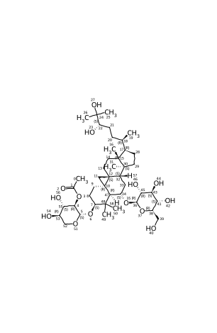 CC(=O)O[C@H]1[C@H](O[C@H]2CC[C@]34C[C@]35CC[C@]3(C)[C@@H]([C@H](C)CC[C@H](O)C(C)(C)O)CC[C@@]3(C)[C@@H]5C[C@H](O[C@@H]3O[C@H](CO)[C@@H](O)[C@H](O)[C@H]3O)[C@H]4C2(C)C)OC[C@@H](O)[C@@H]1O